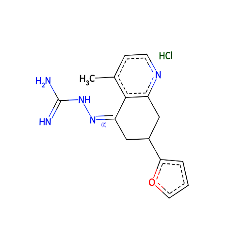 Cc1ccnc2c1/C(=N\NC(=N)N)CC(c1ccco1)C2.Cl